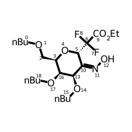 CCCCOC[C@H]1O[C@H](C(F)(F)C(=O)OCC)/C(=N\O)[C@@H](OCCCC)[C@H]1OCCCC